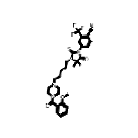 COc1ccccc1C(=O)N1CCN(CCCCCN2C(=S)N(c3ccc(C#N)c(C(F)(F)F)c3)C(=O)C2(C)C)CC1